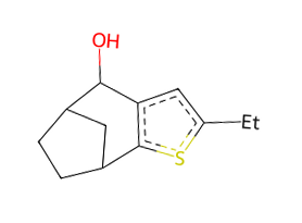 CCc1cc2c(s1)C1CCC(C1)C2O